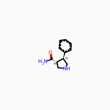 NC(=O)[C@H]1CNC[C@@H]1c1ccccc1